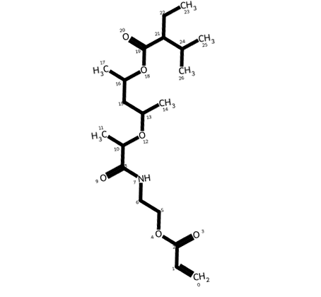 C=CC(=O)OCCNC(=O)C(C)OC(C)CC(C)OC(=O)C(CC)C(C)C